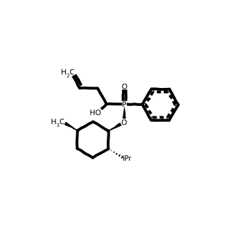 C=CCC(O)[P@@](=O)(O[C@@H]1C[C@H](C)CC[C@H]1C(C)C)c1ccccc1